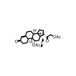 C=C=C[C@]12C[C@H](OC(C)=O)[C@H]3[C@@H](CCC4=CC(=O)CC[C@@]43C)[C@@H]1CC[C@@H]2C(=O)COC(C)=O